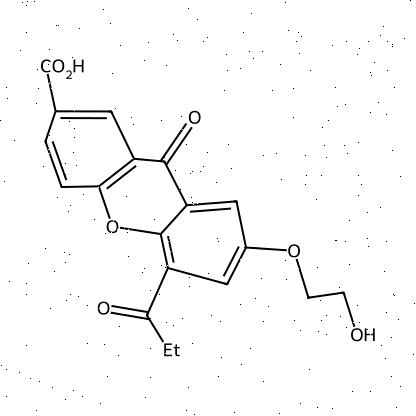 CCC(=O)c1cc(OCCO)cc2c(=O)c3cc(C(=O)O)ccc3oc12